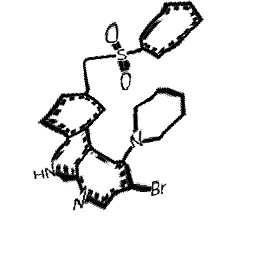 O=S(=O)(Cc1ccc2[nH]c3ncc(Br)c(N4CCCC4)c3c2c1)c1ccccc1